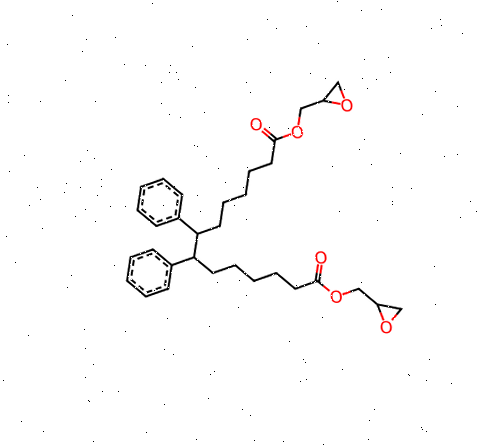 O=C(CCCCCC(c1ccccc1)C(CCCCCC(=O)OCC1CO1)c1ccccc1)OCC1CO1